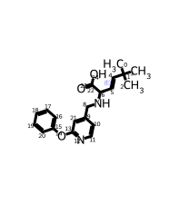 CC(C)(C)/C=C/C(NCc1ccnc(Oc2ccccc2)c1)C(=O)O